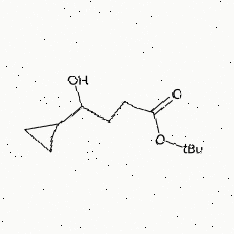 CC(C)(C)OC(=O)CCC(O)C1CC1